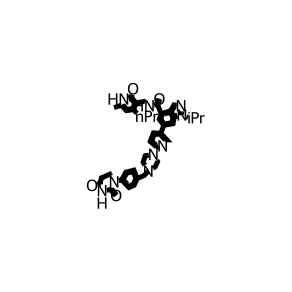 CCCc1cc(C)[nH]c(=O)c1CNC(=O)c1cc(-c2ccc(N3CCN(Cc4ccc(N5CCC(=O)NC5=O)cc4)CC3)nc2)cc2c1cnn2C(C)C